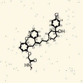 CNC(=O)COc1cccc2c1C/C(=C/CCN1CCC(O)(c3ccc(Cl)cc3)CC1)c1cccnc1O2